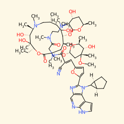 CC[C@H]1OC(=O)[C@H](C)[C@@H](O[C@H]2C[C@@](C)(OC)[C@@H](O)[C@H](C)O2)[C@H](C)[C@@H](O[C@@H]2O[C@H](C)C[C@@H](O)[C@@H]2N(C)CCN(C)C(=O)CN(C)C(=O)/C(C#N)=C/c2ccc(-c3nc4cnc5[nH]ccc5c4n3C3[C@H]4CCC[C@@H]34)o2)[C@](C)(O)C[C@@H](C)CN(C)[C@H](C)[C@@H](O)[C@]1(C)O